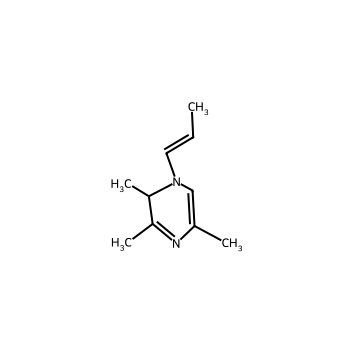 CC=CN1C=C(C)N=C(C)C1C